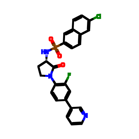 O=C1[C@@H](NS(=O)(=O)c2ccc3cc(Cl)ccc3c2)CCN1c1ccc(-c2cccnc2)cc1F